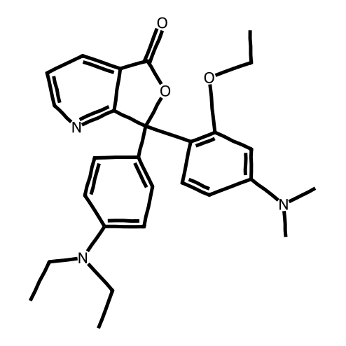 CCOc1cc(N(C)C)ccc1C1(c2ccc(N(CC)CC)cc2)OC(=O)c2cccnc21